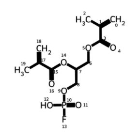 C=C(C)C(=O)OCC(COP(=O)(O)F)OC(=O)C(=C)C